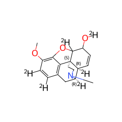 [2H]OC1C=C[C@@]2([2H])[C@@]3([2H])Cc4c([2H])c([2H])c(OC)c5c4[C@@]2(CCN3C)C1([2H])O5